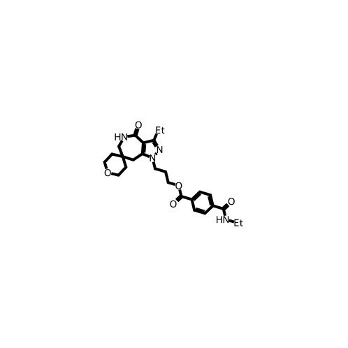 CCNC(=O)c1ccc(C(=O)OCCCn2nc(CC)c3c2CC2(CCOCC2)CNC3=O)cc1